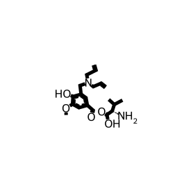 C=CCN(CC=C)Cc1cc(C=O)cc(OC)c1O.CC(C)[C@H](N)C(=O)O